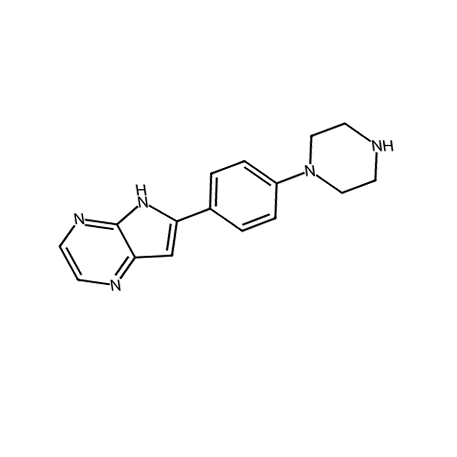 c1cnc2[nH]c(-c3ccc(N4CCNCC4)cc3)cc2n1